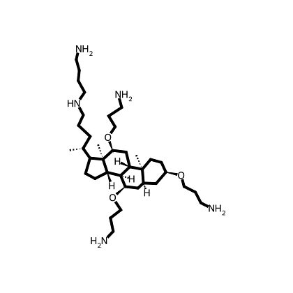 C[C@H](CCCNCCCCN)C1CC[C@H]2[C@@H]3[C@H](OCCCN)C[C@@H]4C[C@H](OCCCN)CC[C@]4(C)[C@H]3C[C@H](OCCCN)[C@]12C